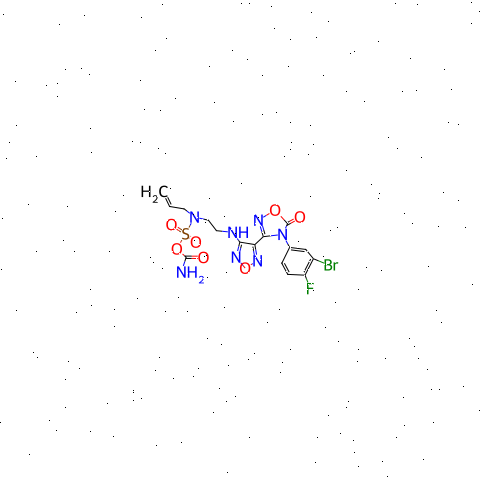 C=CCN(CCNc1nonc1-c1noc(=O)n1-c1ccc(F)c(Br)c1)S(=O)(=O)OC(N)=O